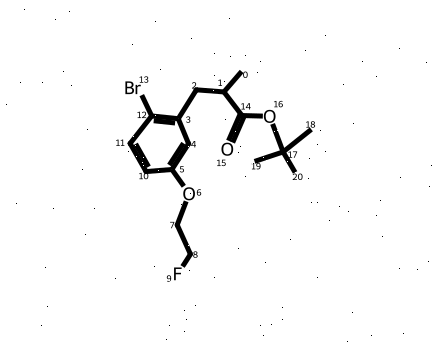 CC(Cc1cc(OCCF)ccc1Br)C(=O)OC(C)(C)C